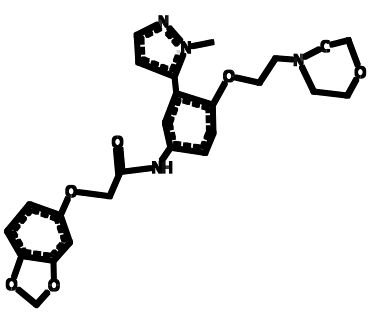 Cn1nccc1-c1cc(NC(=O)COc2ccc3c(c2)OCO3)ccc1OCCN1CCOCC1